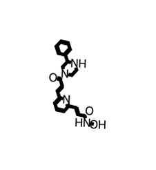 O=C(/C=C/c1cccc(/C=C/C(=O)N2CCNC(c3ccccc3)C2)n1)NO